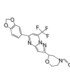 O=CN1CCOC(c2cc3nc(-c4ccc5c(c4)OCO5)cc(C(F)(F)F)n3n2)C1